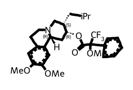 COc1cc2c(cc1OC)[C@H]1C[C@@H](OC(=O)C(OC)(c3ccccc3)C(F)(F)F)[C@@H](CC(C)C)CN1CC2